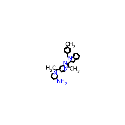 C=C(c1ccn2c(C)c(-c3cc4ccccc4n3Cc3ccc(C)cc3)nc2c1)N1CCCC(N)C1